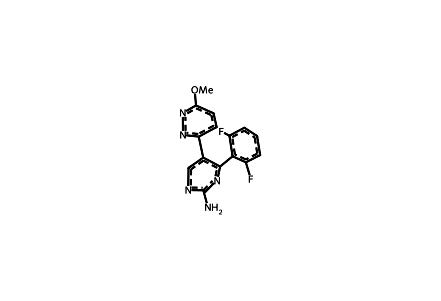 COc1ccc(-c2cnc(N)nc2-c2c(F)cccc2F)nn1